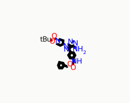 CC(C)(C)OC(=O)N1CCC(n2nc(-c3ccc(NC(=O)OCc4ccccc4)cc3)c3c(N)ncnc32)CC1